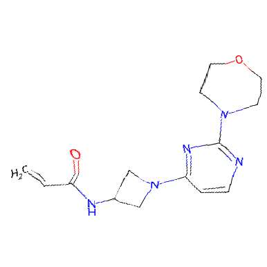 C=CC(=O)NC1CN(c2ccnc(N3CCOCC3)n2)C1